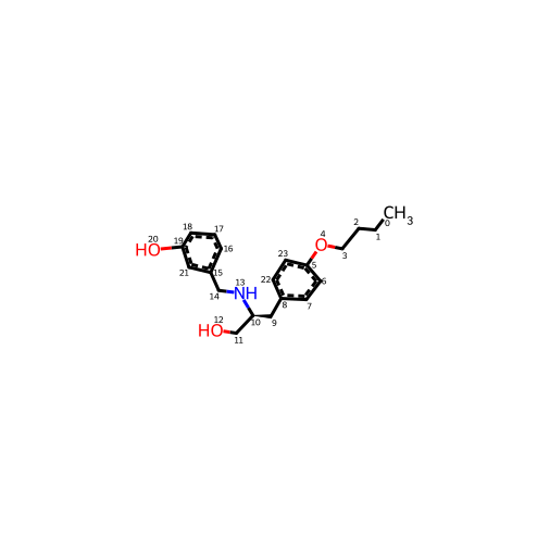 CCCCOc1ccc(C[C@@H](CO)NCc2cccc(O)c2)cc1